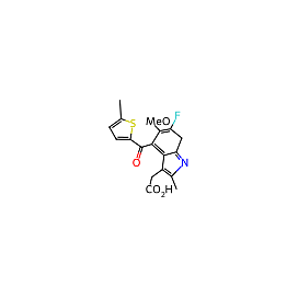 COC1=C(F)CC2=NC(C)=C(CC(=O)O)C2=C1C(=O)c1ccc(C)s1